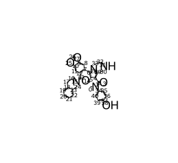 CN(C(=O)c1cc(-c2cc3c(cc2C(=O)N2CCc4ccccc4C2)OCO3)n2c1CNCC2)c1ccc(O)cc1